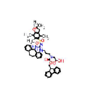 Cc1c(C)c(S(=O)(=O)/N=C(/NCCCN(CC(=O)O)C(=O)OCC2c3ccccc3-c3ccccc32)NC2c3ccccc3CCc3ccccc32)c(C)c2c1OC(C)(C)C2